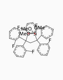 CO[Si](OC)(OC)C(CC(c1ccccc1F)(c1ccccc1F)c1ccccc1F)(c1ccccc1F)c1ccccc1F